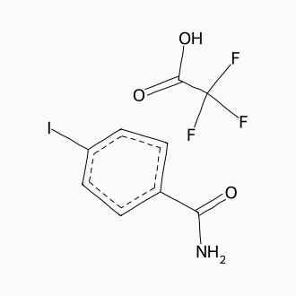 NC(=O)c1ccc(I)cc1.O=C(O)C(F)(F)F